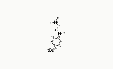 CN(C)CCN(C)c1ccc(C(C)(C)C)nc1